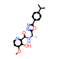 COc1ccnc(C(=O)N[C@@H](C)c2nnc(-c3ccc(C(C)C)cc3)o2)c1O